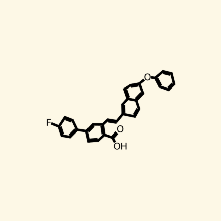 O=C(O)c1ccc(-c2ccc(F)cc2)cc1C=Cc1ccc2cc(Oc3ccccc3)ccc2c1